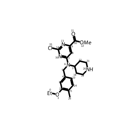 CCOc1cc(CN(c2cc(C(=O)OC)nc(Cl)n2)C2CCNCC2)ccc1C